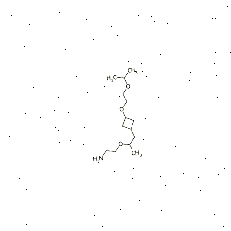 CC(C)OCCOC1CC(CC(C)OCCN)C1